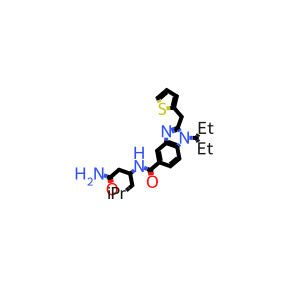 CCC(CC)n1c(Cc2cccs2)nc2cc(C(=O)NC(CC(N)=O)CC(C)C)ccc21